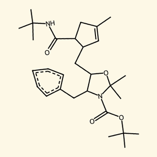 CC1=CC(CC2OC(C)(C)N(C(=O)OC(C)(C)C)C2Cc2ccccc2)C(C(=O)NC(C)(C)C)C1